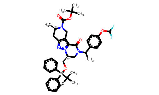 CC(c1ccc(OC(F)F)cc1)N1C[C@@H](CO[Si](c2ccccc2)(c2ccccc2)C(C)(C)C)n2nc3c(c2C1=O)CN(C(=O)OC(C)(C)C)[C@H](C)C3